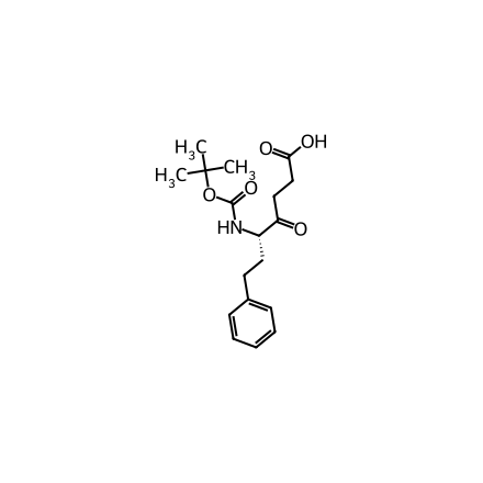 CC(C)(C)OC(=O)N[C@@H](CCc1ccccc1)C(=O)CCC(=O)O